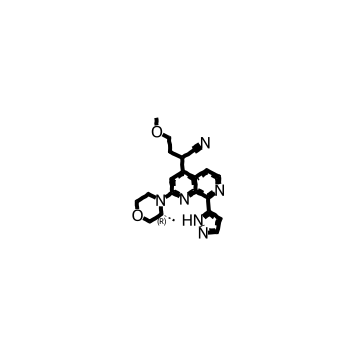 COCCC(C#N)c1cc(N2CCOC[C@H]2C)nc2c(-c3ccn[nH]3)nccc12